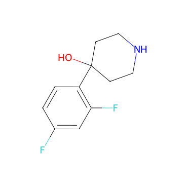 OC1(c2ccc(F)cc2F)CCNCC1